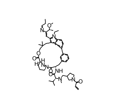 C=CC(=O)N1CCC(CN(C)[C@H](C(=O)N[C@H]2Cc3cccc(c3)-c3ccc4c(c3)c(c(/C=C(/N=C\CC)[C@H](C)OC)n4CC)CC(C)(C)COC(=O)[C@@H]3CCCN(N3)C2=O)C(C)C)C1